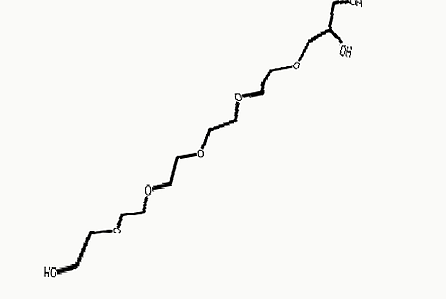 OCCOCCOCCOCCOCCOCC(O)CO